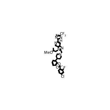 CO[C@@H](C)Cn1c(CN2CCC(c3cccc4c3O[C@@](C)(c3ccc(Cl)cc3F)O4)CC2)nc2cc(-c3nnc(C(F)(F)F)[nH]3)ncc21